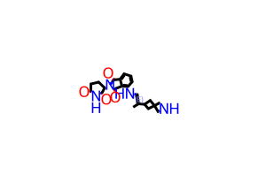 C/C(=C\Nc1cccc2c1C(=O)N(C1CCC(=O)NC1=O)C2=O)C1CC2(CNC2)C1